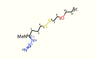 CN/C(CCCSSCCOCCC(C)=O)=N\[N+]#N